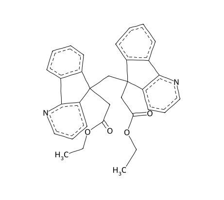 CCOC(=O)CC1(CC2(CC(=O)OCC)c3ccccc3-c3ncccc32)c2ccccc2-c2ncccc21